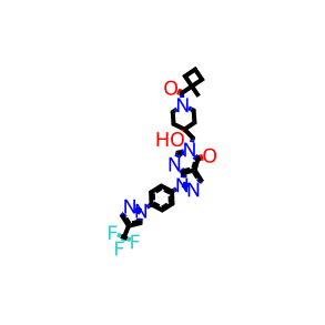 CC1(C(=O)N2CCC(O)(Cn3cnc4c(cnn4-c4ccc(-n5cc(C(F)(F)F)cn5)cc4)c3=O)CC2)CCC1